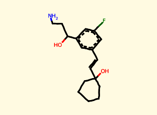 NCCC(O)c1cc(F)cc(C=CC2(O)CCCCC2)c1